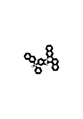 O=P(c1ccccc1)(c1ccc2ccccc2c1)c1ccc2c(c1)nc1c3c4ccccc4ccc3c3cc4ccccc4cc3n21